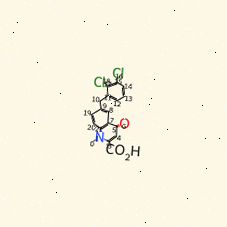 Cn1c(C(=O)O)cc(=O)c2cc(Cc3cccc(Cl)c3Cl)ccc21